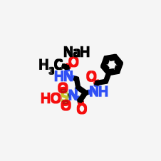 CC(=O)NCC1C(NC(=O)Cc2ccccc2)C(=O)N1S(=O)(=O)O.[NaH]